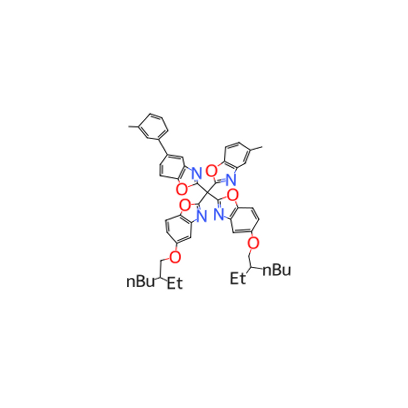 CCCCC(CC)COc1ccc2oc(C(c3nc4cc(C)ccc4o3)(c3nc4cc(OCC(CC)CCCC)ccc4o3)c3nc4cc(-c5cccc(C)c5)ccc4o3)nc2c1